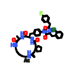 C=C1CC2(CCCC2)CC(=O)N[C@H](Cc2ccc(NC(=O)[C@H](Cc3ccccc3Cl)NC(=O)Cc3ccc(F)cc3)cc2)C(=O)N[C@H](C)C(=O)NCCCC[C@@H](C(C)=O)N1